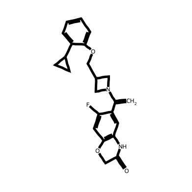 C=C(c1cc2c(cc1F)OCC(=O)N2)N1CC(COc2ccccc2C2CC2)C1